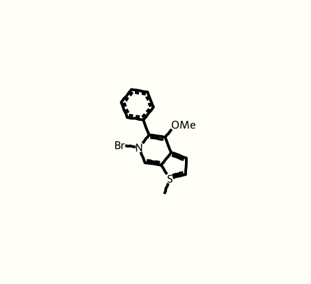 COC1=C(c2ccccc2)N(Br)C=C2C1=CC=S2C